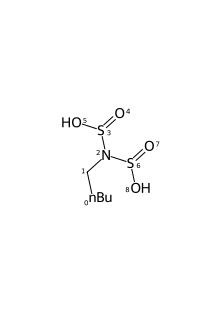 CCCCCN(S(=O)O)S(=O)O